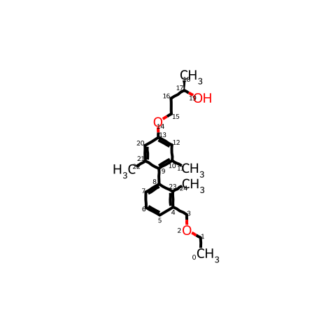 CCOCc1cccc(-c2c(C)cc(OCC[C@@H](C)O)cc2C)c1C